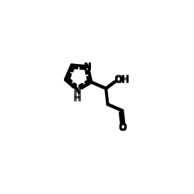 O=CCC(O)c1ncc[nH]1